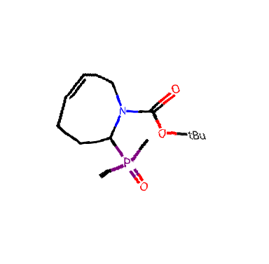 CC(C)(C)OC(=O)N1CC=CCCC1P(C)(C)=O